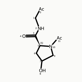 CC(=O)CNC(=O)[C@@H]1CC(O)CN1C(C)=O